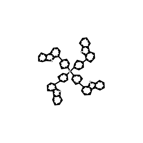 c1ccc2c(c1)sc1c(-c3ccc([Si](c4ccc(-c5cccc6c5sc5ccccc56)cc4)(c4ccc(-c5cccc6c5sc5ccccc56)cc4)c4ccc(-c5cccc6c5sc5ccccc56)cc4)cc3)cccc12